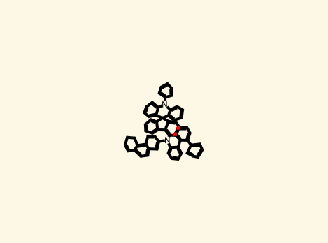 C1=Cc2ccc3cc(N(c4ccccc4-c4ccccc4-c4ccccc4)c4cccc5c4-c4ccccc4C54c5ccccc5N(c5ccccc5)c5ccccc54)ccc3c2CC1